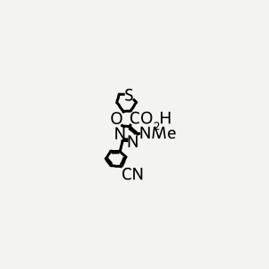 CNc1nc(-c2cccc(C#N)c2)nc(OC2CCSCC2)c1C(=O)O